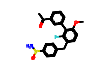 COc1ccc(Cc2ccc([S+](N)[O-])cc2)c(F)c1-c1cccc(C(C)=O)c1